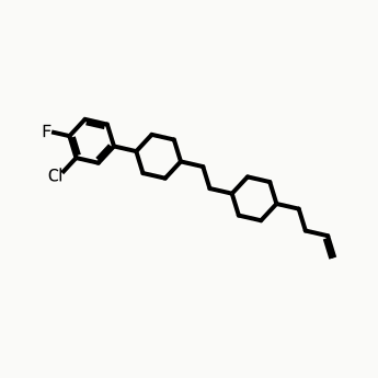 C=CCCC1CCC(CCC2CCC(c3ccc(F)c(Cl)c3)CC2)CC1